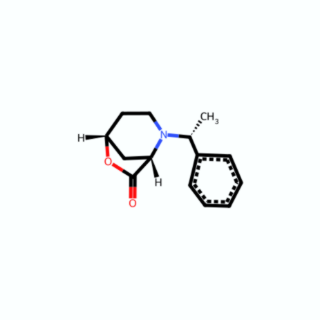 C[C@H](c1ccccc1)N1CC[C@@H]2C[C@H]1C(=O)O2